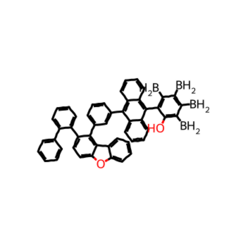 Bc1c(B)c(B)c(-c2c3ccccc3c(-c3cccc(-c4c(-c5ccccc5-c5ccccc5)ccc5oc6ccccc6c45)c3)c3ccccc23)c(O)c1B